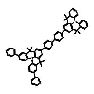 CC1(C)c2ccccc2N2c3ccccc3C(C)(C)c3cc(-c4ccc(-c5ccc(-c6cc7c8c(c6)C(C)(C)c6cc(-c9ccccc9)ccc6N8c6ccc(-c8ccccc8)cc6C7(C)C)cc5)cc4)cc1c32